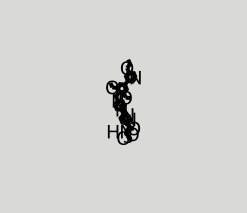 CCOc1cncc(-c2cc(OC)c(CN3CCN(c4ccc(C(=O)NS(C)(=O)=O)nn4)CC3)c(OC)c2)c1